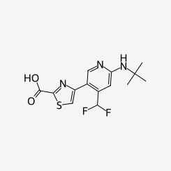 CC(C)(C)Nc1cc(C(F)F)c(-c2csc(C(=O)O)n2)cn1